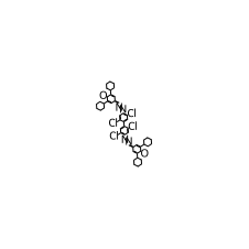 O=C1C(C2CCCCC2)=CC(=C/N=N/c2cc(Cl)c(-c3cc(Cl)c(/N=N/C=C4C=C(C5CCCCC5)C(=O)C(C5CCCCC5)=C4)cc3Cl)cc2Cl)C=C1C1CCCCC1